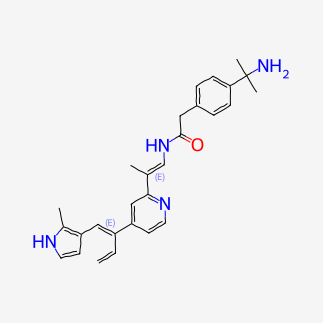 C=C/C(=C\c1cc[nH]c1C)c1ccnc(/C(C)=C/NC(=O)Cc2ccc(C(C)(C)N)cc2)c1